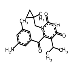 Cc1cc(N)cc(C(=O)c2c(C(C)C)c(=O)[nH]c(=O)n2CC2(C)CC2)c1